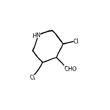 O=CC1C(Cl)CNCC1Cl